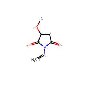 C=CN1C(=O)CC(OCC)C1=O